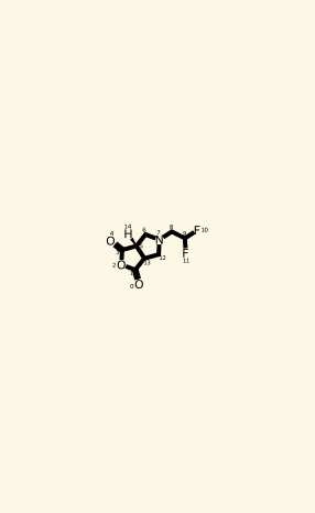 O=C1OC(=O)[C@@H]2CN(CC(F)F)CC12